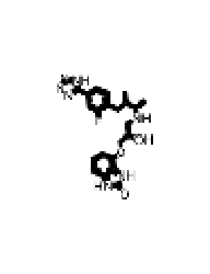 CC(Cc1ccc(-c2nnn[nH]2)cc1F)C(C)NCC(O)COc1cccc2[nH]c(=O)[nH]c12